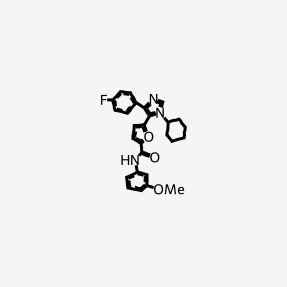 COc1cccc(NC(=O)c2ccc(-c3c(-c4ccc(F)cc4)ncn3C3CCCCC3)o2)c1